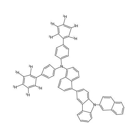 [2H]c1c([2H])c([2H])c(-c2ccc(N(c3ccc(-c4c([2H])c([2H])c([2H])c([2H])c4[2H])cc3)c3cccc4c(-c5ccc6c(c5)c5ccccc5n6-c5ccc6ccccc6c5)cccc34)cc2)c([2H])c1[2H]